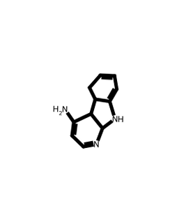 NC1=CC=NC2NC3=CC=CCC3C12